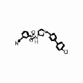 N#Cc1cccc(S(=O)(=O)N[C@@H]2CCN(Cc3ccc(-c4ccc(Cl)cc4)cc3)C2)c1